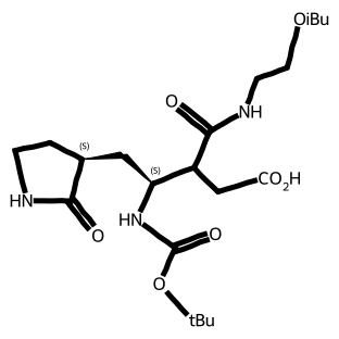 CC(C)COCCNC(=O)C(CC(=O)O)[C@H](C[C@@H]1CCNC1=O)NC(=O)OC(C)(C)C